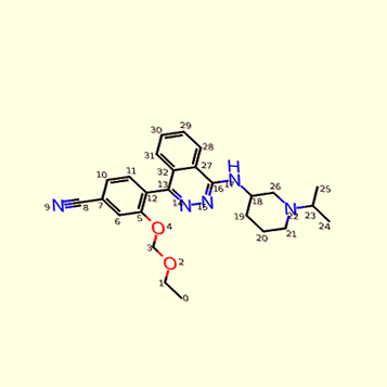 CCOCOc1cc(C#N)ccc1-c1nnc(NC2CCCN(C(C)C)C2)c2ccccc12